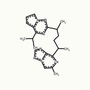 Cc1cn2ncnc2c(C(C)CCC(C)c2nc(C(C)C)c3cccn3n2)n1